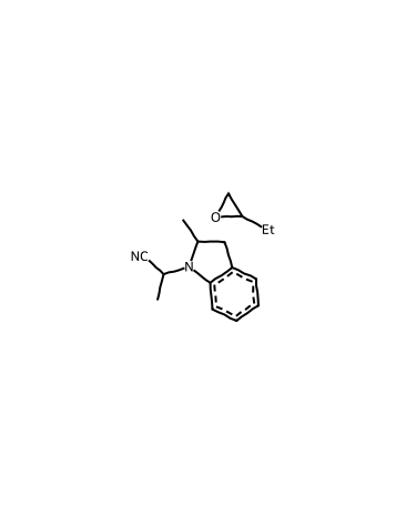 CC(C#N)N1c2ccccc2CC1C.CCC1CO1